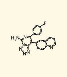 Nc1nc(-c2ccc(F)cc2)c(-c2ccc3ncccc3c2)c2nnnn12